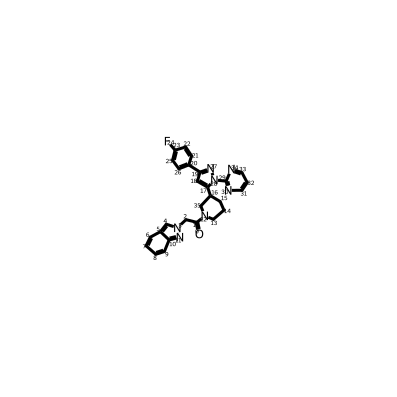 O=C(Cn1cc2ccccc2n1)N1CCCC(c2cc(-c3ccc(F)cc3)nn2-c2ncccn2)C1